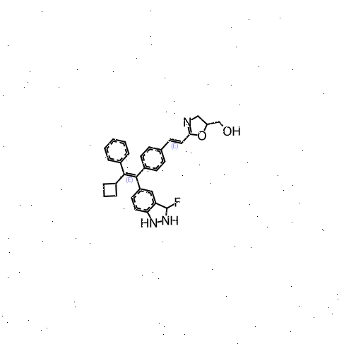 OCC1CN=C(/C=C/c2ccc(/C(=C(\c3ccccc3)C3CCC3)c3ccc4c(c3)C(F)NN4)cc2)O1